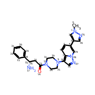 Cn1cc(-c2ccc3c(N4CCN(C(=O)C[C@H](N)c5ccccc5)CC4)cnn3c2)cn1